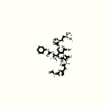 CC(OC(=O)OC1CCCCC1)C1S[C@@H]2[C@H](NC(=O)Cc3csc(NC=O)n3)C(=O)N2C(C(=O)O)=C1CSc1nnnn1CCN(C)C